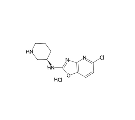 Cl.Clc1ccc2oc(N[C@@H]3CCCNC3)nc2n1